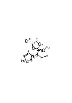 CCC([n+]1cc[nH]c1)[Si](OC)(OC)OC.[Br-]